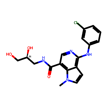 Cn1ccc2c(Nc3cccc(Cl)c3)ncc(C(=O)NC[C@H](O)CO)c21